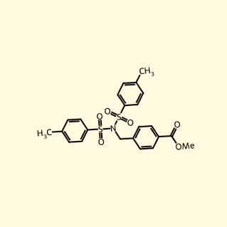 COC(=O)c1ccc(CN(S(=O)(=O)c2ccc(C)cc2)S(=O)(=O)c2ccc(C)cc2)cc1